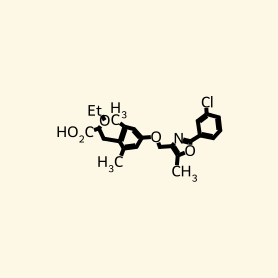 CCOC(Cc1c(C)cc(OCc2nc(-c3cccc(Cl)c3)oc2C)cc1C)C(=O)O